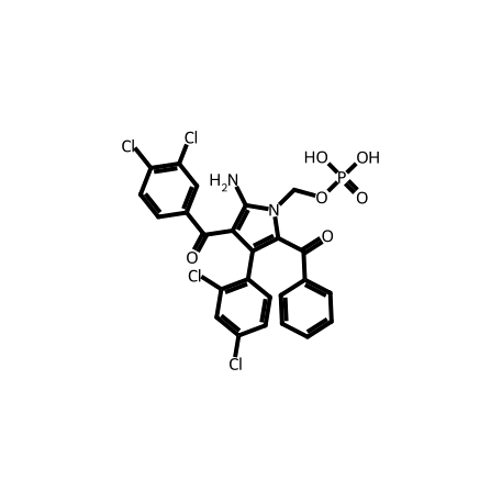 Nc1c(C(=O)c2ccc(Cl)c(Cl)c2)c(-c2ccc(Cl)cc2Cl)c(C(=O)c2ccccc2)n1COP(=O)(O)O